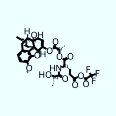 COc1ccc2c3c1O[C@H]1C(OC(=O)[C@H](C)OC(=O)[C@H](CCC(=O)OC(=O)C(F)(F)F)NC(=O)[C@H](C)O)=CC[C@@]4(O)[C@@H](C2)N(C)CC[C@]314